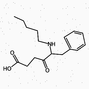 CCCCCNC(Cc1ccccc1)C(=O)CCC(=O)O